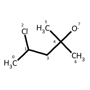 CC(Cl)CC(C)(C)[O]